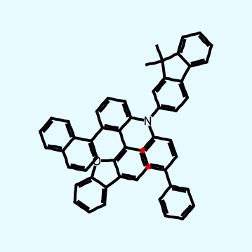 CC1(C)c2ccccc2-c2ccc(N(c3ccc(-c4ccccc4)cc3)c3cccc(-c4cccc5ccccc45)c3-c3cccc4c3oc3ccccc34)cc21